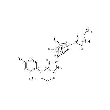 Cc1cc(F)ccc1C1CCCn2nc(N3[C@H]4[C@H]5CC[C@]43CN(C3=CC(C)NS3)C5)nc21